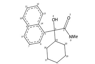 CNC(=O)C(O)(c1cccc2ccccc12)C1CCCCC1